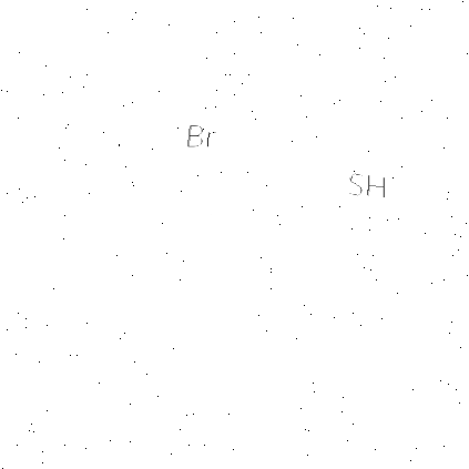 C=C/C(S)=C(/Br)C=C